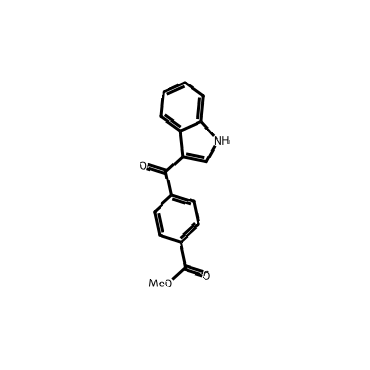 COC(=O)c1ccc(C(=O)c2c[nH]c3ccccc23)cc1